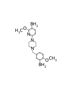 Bc1cc(CN2CCN(c3ccc(B)c(OC)n3)CC2)ccc1OC